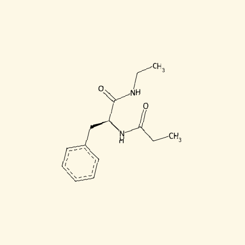 CCNC(=O)[C@H](Cc1ccccc1)NC(=O)CC